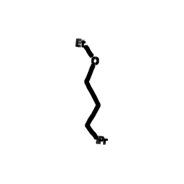 CCOCCCC(C)C